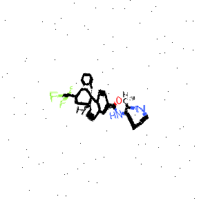 Cc1ncccc1NC(=O)c1ccc2c(c1)C=C[C@@H]1CC(C(F)(F)F)CC[C@@]21Cc1ccccc1